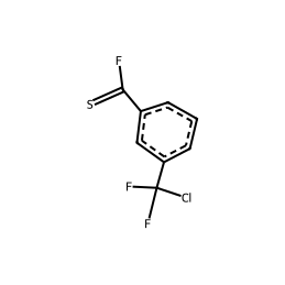 FC(=S)c1cccc(C(F)(F)Cl)c1